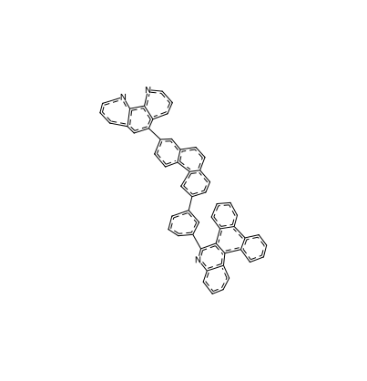 c1cc(-c2ccc3ccc4cc(-c5cc6cccnc6c6ncccc56)ccc4c3c2)cc(-c2nc3ccccc3c3c4ccccc4c4ccccc4c23)c1